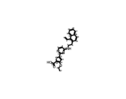 C=Cc1c(CCNc2ccnc(-c3cc(OCC)c(C(=O)O)s3)n2)ccc2ccccc12